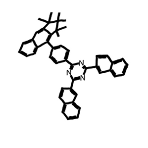 CC1(C)c2cc3ccccc3c(-c3ccc(-c4nc(-c5ccc6ccccc6c5)nc(-c5ccc6ccccc6c5)n4)cc3)c2C(C)(C)C1(C)C